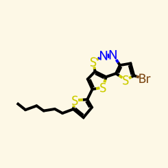 CCCCCCc1ccc(-c2cc3c(s2)-c2sc(Br)cc2N=NS3)s1